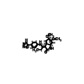 CCC(Nc1ccc(-c2nnn[nH]2)cc1)=C1C(=O)Nc2cc(OC)c(OC)cc21